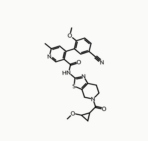 COc1ccc(C#N)cc1-c1cc(C)ncc1C(=O)Nc1nc2c(s1)CN(C(=O)C1CC1OC)CC2